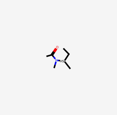 CC[SiH](C)N(C)C(C)=O